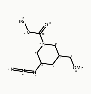 COCC1CC(N=[N+]=[N-])CN(C(=O)OC(C)(C)C)C1